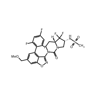 COCc1cc(-c2c(F)cc(F)cc2F)c2c(N3CC[C@H]4N(C[C@@H](NS(C)(=O)=O)C4(F)F)C3=O)noc2c1